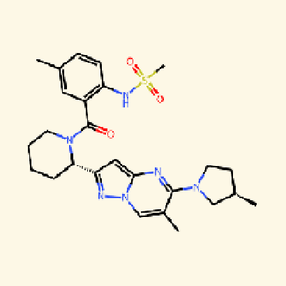 Cc1ccc(NS(C)(=O)=O)c(C(=O)N2CCCC[C@H]2c2cc3nc(N4CC[C@@H](C)C4)c(C)cn3n2)c1